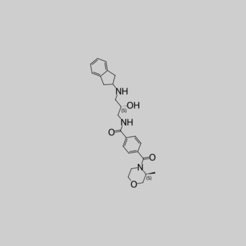 C[C@H]1COCCN1C(=O)c1ccc(C(=O)NC[C@@H](O)CNC2Cc3ccccc3C2)cc1